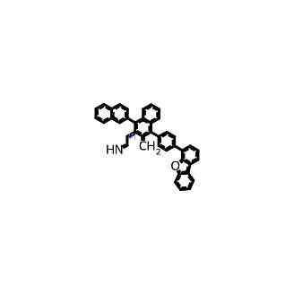 C=c1c(-c2ccc(-c3cccc4c3oc3ccccc34)cc2)c2ccccc2c(-c2ccc3ccccc3c2)/c1=C/C=N